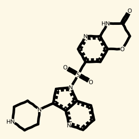 O=C1COc2cc(S(=O)(=O)n3cc(N4CCNCC4)c4ncccc43)cnc2N1